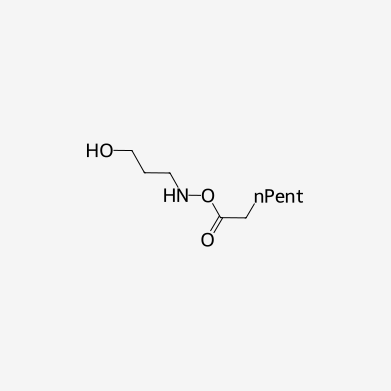 CCCCCCC(=O)ONCCCO